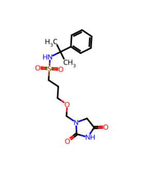 CC(C)(NS(=O)(=O)CCCOCN1CC(=O)NC1=O)c1ccccc1